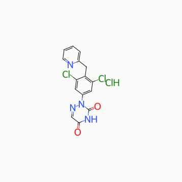 Cl.O=c1cnn(-c2cc(Cl)c(Cc3ccccn3)c(Cl)c2)c(=O)[nH]1